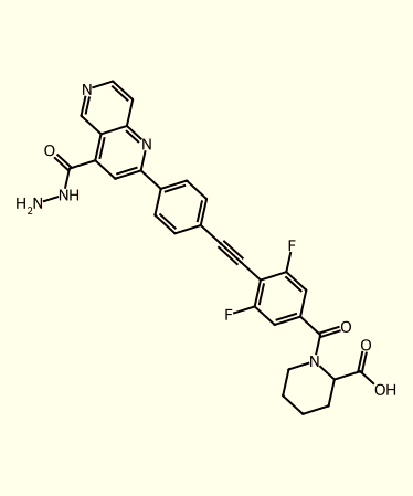 NNC(=O)c1cc(-c2ccc(C#Cc3c(F)cc(C(=O)N4CCCCC4C(=O)O)cc3F)cc2)nc2ccncc12